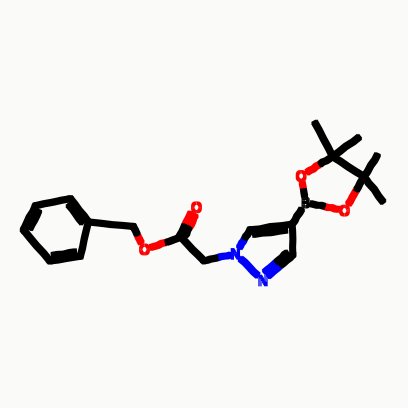 CC1(C)OB(c2cnn(CC(=O)OCc3ccccc3)c2)OC1(C)C